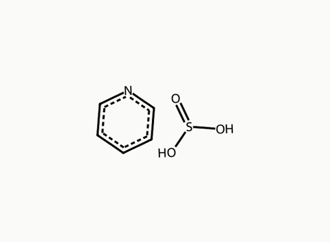 O=S(O)O.c1ccncc1